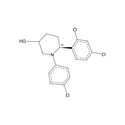 OC1CC[C@@H](c2ccc(Cl)cc2Cl)N(c2ccc(Cl)cc2)C1